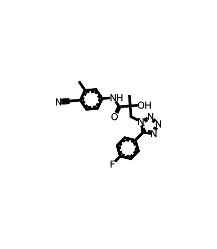 Cc1cc(NC(=O)C(C)(O)Cn2nnnc2-c2ccc(F)cc2)ccc1C#N